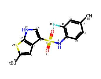 CC(C)(C)c1cc2c(S(=O)(=O)Nc3ccc(C#N)cc3F)c[nH]c2s1